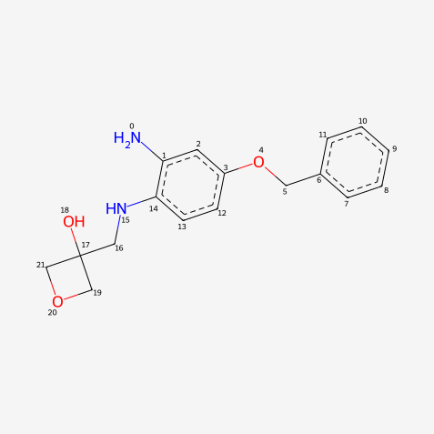 Nc1cc(OCc2ccccc2)ccc1NCC1(O)COC1